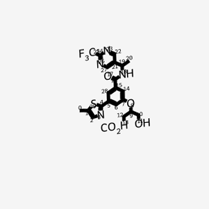 Cc1cnc(-c2cc(OC(CO)CC(=O)O)cc(C(=O)NC(C)c3cnc(C(F)(F)F)nc3)c2)s1